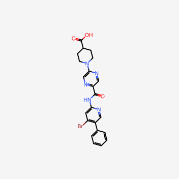 O=C(Nc1cc(Br)c(-c2ccccc2)cn1)c1cnc(N2CCC(C(=O)O)CC2)cn1